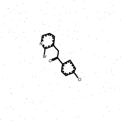 O=C(Cc1cccnc1Br)c1ccc(Cl)cc1